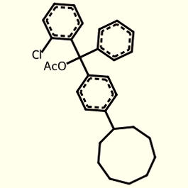 CC(=O)OC(c1ccccc1)(c1ccc(C2CCCCCCCC2)cc1)c1ccccc1Cl